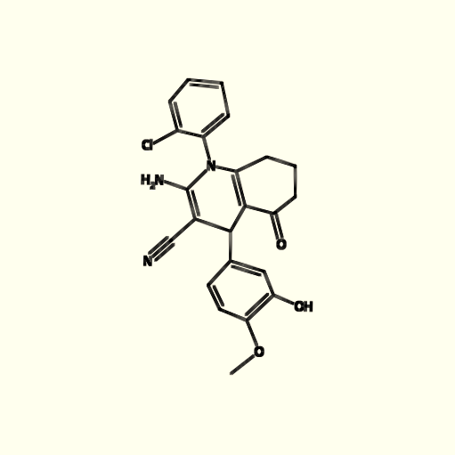 COc1ccc(C2C(C#N)=C(N)N(c3ccccc3Cl)C3=C2C(=O)CCC3)cc1O